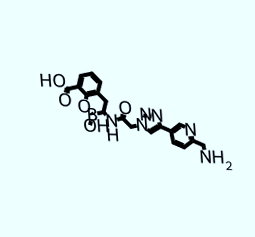 NCc1ccc(-c2cn(CC(=O)NC3Cc4cccc(C(=O)O)c4OB3O)nn2)cn1